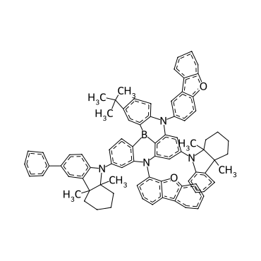 CC(C)(C)c1ccc2c(c1)B1c3ccc(N4c5ccc(-c6ccccc6)cc5C5(C)CCCCC45C)cc3N(c3cccc4c3oc3ccccc34)c3cc(N4c5ccccc5C5(C)CCCCC45C)cc(c31)N2c1ccc2oc3ccccc3c2c1